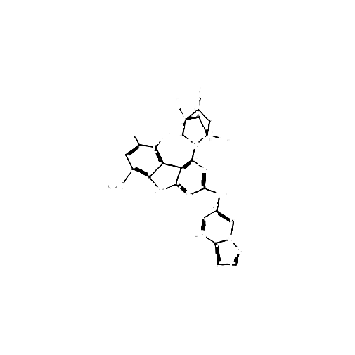 CNc1cc(F)c(F)c2c1[nH]c1nc(Oc3cnc4ccnn4c3)nc(N3C[C@H]4C[C@@H]3C[C@@H]4N)c12